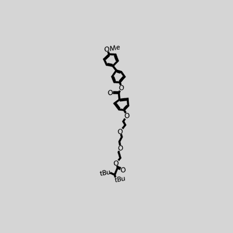 COc1ccc(-c2ccc(OC(=O)c3ccc(OCCOCCOCCOC(=O)C(C(C)(C)C)C(C)(C)C)cc3)cc2)cc1